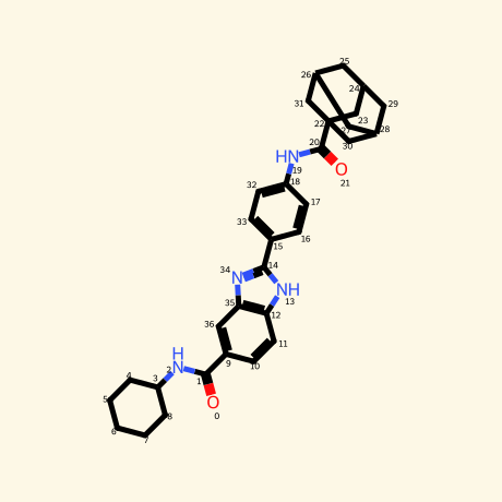 O=C(NC1CCCCC1)c1ccc2[nH]c(-c3ccc(NC(=O)C45CC6CC(CC(C6)C4)C5)cc3)nc2c1